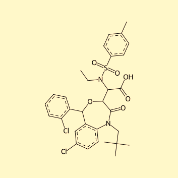 CCN(C(C(=O)O)C1OC(c2ccccc2Cl)c2cc(Cl)ccc2N(CC(C)(C)C)C1=O)S(=O)(=O)c1ccc(C)cc1